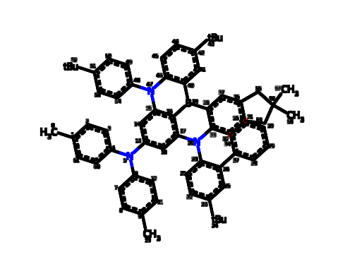 Cc1ccc(N(c2ccc(C)cc2)c2cc3c4c(c2)N(c2ccc(C(C)(C)C)cc2-c2ccccc2)c2cc5c(cc2B4c2cc(C(C)(C)C)ccc2N3c2ccc(C(C)(C)C)cc2)CC(C)(C)C5)cc1